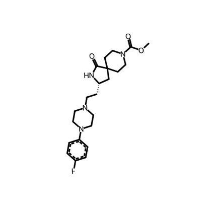 COC(=O)N1CCC2(CC1)C[C@H](CCN1CCN(c3ccc(F)cc3)CC1)NC2=O